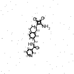 Nc1c(N2CCc3ccc(CNC(=O)c4cccnc4)cc3C2)c(=O)c1=O